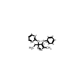 CCC1(Oc2ncccn2)N=NC(C)=C1Sc1ccccc1